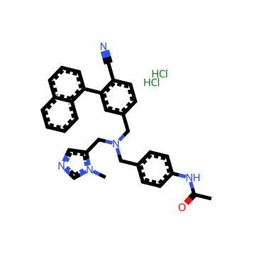 CC(=O)Nc1ccc(CN(Cc2ccc(C#N)c(-c3cccc4ccccc34)c2)Cc2cncn2C)cc1.Cl.Cl